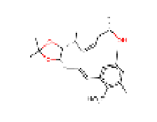 Cc1cc(C)c(C(=O)O)c(/C=C/C[C@@H]2OC(C)(C)O[C@@H]2C(C)/C=C\C[C@H](C)O)c1